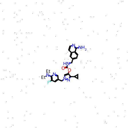 CCN(CC)c1ncc(Cn2cc(OC(=O)NCc3ccc4c(N)nccc4c3)c(C3CC3)n2)cc1F